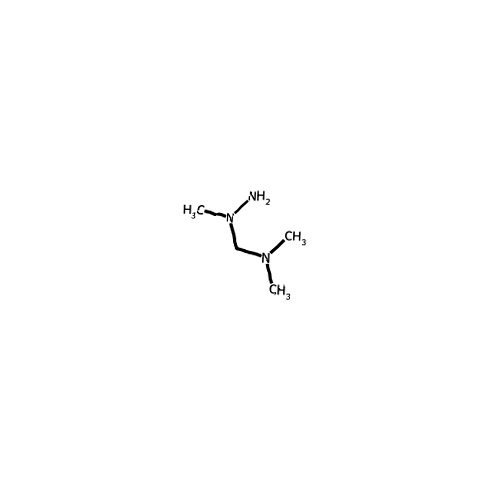 CN(C)CN(C)N